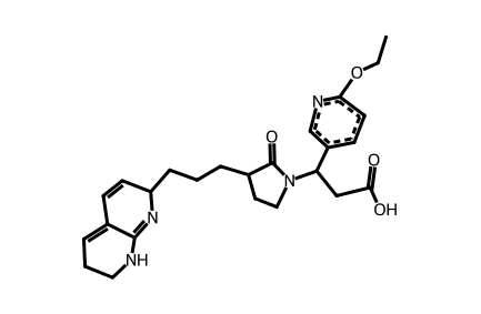 CCOc1ccc(C(CC(=O)O)N2CCC(CCCC3C=CC4=CCCNC4=N3)C2=O)cn1